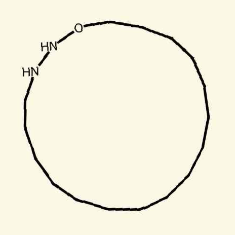 C1CCCCCCCCONNCCCCCCC1